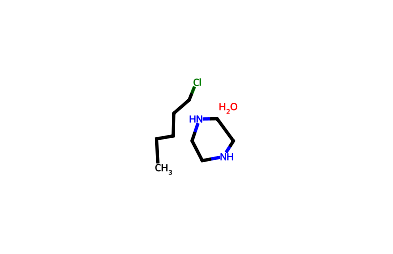 C1CNCCN1.CCCCCCl.O